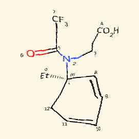 CC[C@]1(N(CC(=O)O)C(=O)C(F)(F)F)C=CC=CC1